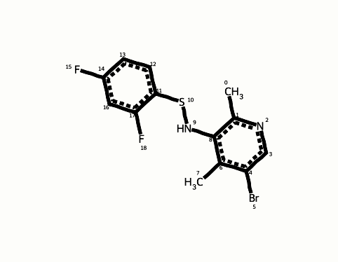 Cc1ncc(Br)c(C)c1NSc1ccc(F)cc1F